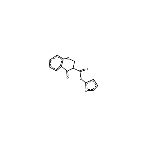 O=C(Oc1ccco1)C1COc2ccccc2C1=O